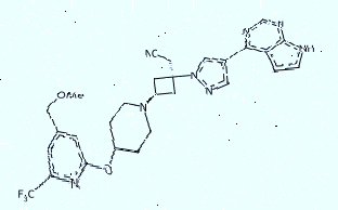 COCc1cc(OC2CCN([C@H]3C[C@@](CC#N)(n4cc(-c5ncnc6[nH]ccc56)cn4)C3)CC2)nc(C(F)(F)F)c1